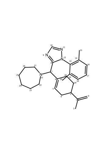 C=C(C)C1CC=C(C(c2ncnn2-c2c(C)cccc2C)N2CCCCCC2)CC1